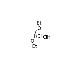 CCOCCOCC.Cl.Cl